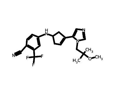 COC(C)(C)Cn1cncc1C1=CCC(Nc2ccc(C#N)c(C(F)(F)F)c2)C1